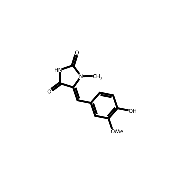 COc1cc(C=C2C(=O)NC(=O)N2C)ccc1O